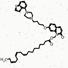 CC/C=C\C/C=C\C/C=C\CCCCCCCC(=O)OCn1c(=O)ccc2ccc(OCCCCN3CCN(c4cccc5sccc45)CC3)cc21